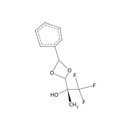 C[C@@](O)(C1OC(c2ccccc2)O1)C(F)(F)F